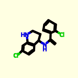 C=C(NC1CCNc2cc(Cl)ccc21)c1ccccc1Cl